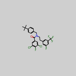 CC(C)(C)c1ccc(CN(CCc2cc(F)cc(C(F)(F)F)c2)C(=O)c2cc(Cl)c(F)c(Cl)c2)cc1